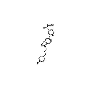 COC(=O)c1ccnc(-c2cc3cnn(CCCc4ccc(F)cc4)c3cn2)c1